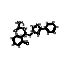 NC(=O)O[C@@H](Cn1nnc(-c2ccccc2)n1)c1ccccc1Cl